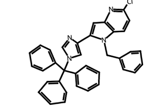 Clc1ccc2c(cc(-c3cn(C(c4ccccc4)(c4ccccc4)c4ccccc4)cn3)n2Cc2ccccc2)n1